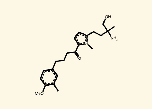 COc1ccc(CCCC(=O)c2ccc(CCC(C)(N)CO)n2C)cc1C